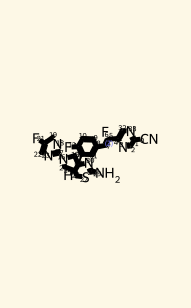 N#Cc1cnc(/C(F)=C/c2ccc(F)c([C@]34CN(c5ncc(F)cn5)C[C@H]3CSC(N)=N4)c2)cn1